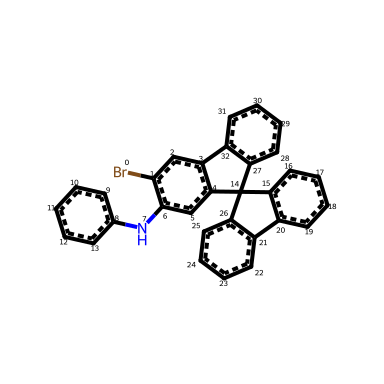 Brc1cc2c(cc1Nc1ccccc1)C1(c3ccccc3-c3ccccc31)c1ccccc1-2